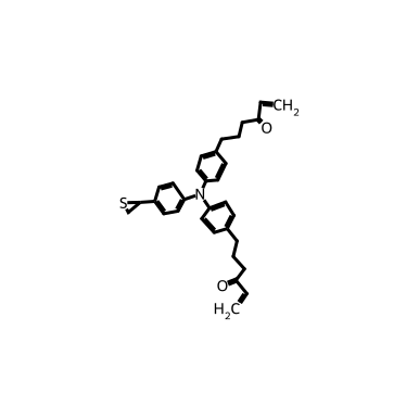 C=CC(=O)CCCc1ccc(N(c2ccc(CCCC(=O)C=C)cc2)c2ccc(C3CS3)cc2)cc1